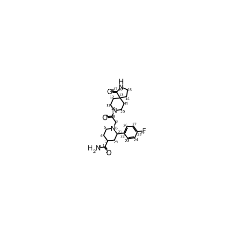 NC(=O)C1CCN(CC(=O)N2CCC3(CCNC3=O)CC2)C(c2ccc(F)cc2)C1